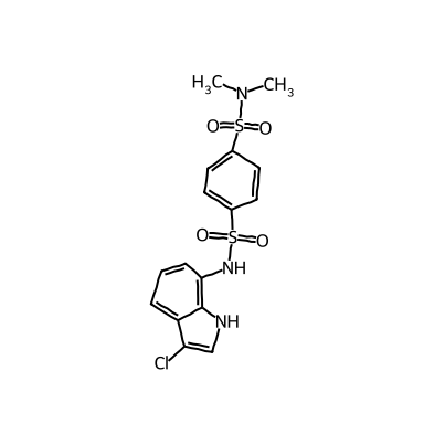 CN(C)S(=O)(=O)c1ccc(S(=O)(=O)Nc2cccc3c(Cl)c[nH]c23)cc1